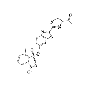 CC(=O)C1CSC(c2nc3ccc(OS(=O)(=O)c4c(C)cccc4[N+](=O)[O-])cc3s2)=N1